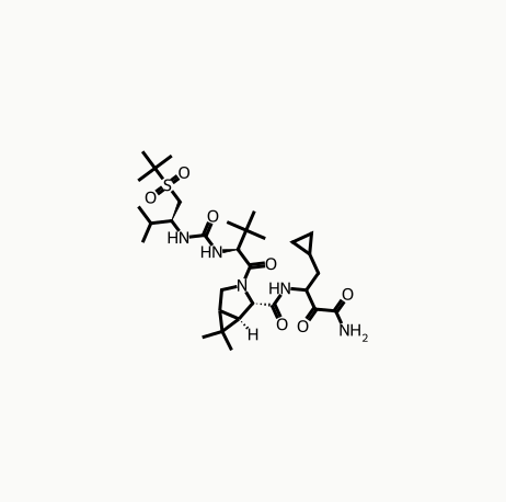 CC(C)[C@@H](CS(=O)(=O)C(C)(C)C)NC(=O)N[C@H](C(=O)N1CC2[C@@H]([C@H]1C(=O)NC(CC1CC1)C(=O)C(N)=O)C2(C)C)C(C)(C)C